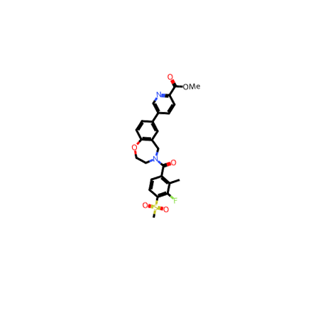 COC(=O)c1ccc(-c2ccc3c(c2)CN(C(=O)c2ccc(S(C)(=O)=O)c(F)c2C)CCO3)cn1